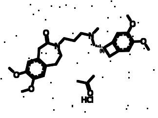 CC(C)=O.COc1cc2c(cc1OC)CC(=O)N(CCCN(C)C[C@H]1Cc3cc(OC)c(OC)cc31)CC2.Cl